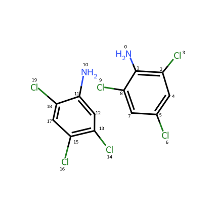 Nc1c(Cl)cc(Cl)cc1Cl.Nc1cc(Cl)c(Cl)cc1Cl